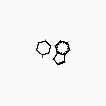 C1=Cc2ccccc2C1.C1CCNCC1